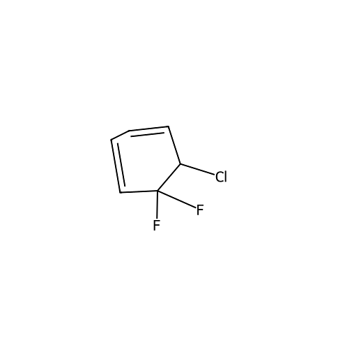 FC1(F)C=CC=CC1Cl